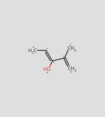 C=C(C)C(O)=CC